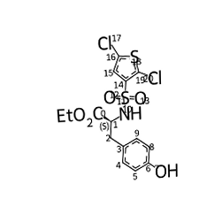 CCOC(=O)[C@H](Cc1ccc(O)cc1)NS(=O)(=O)c1cc(Cl)sc1Cl